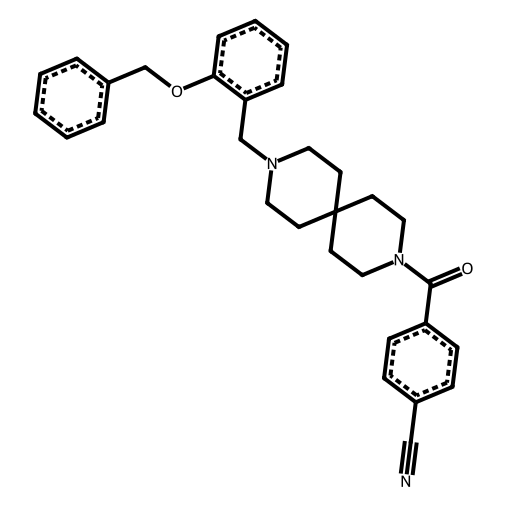 N#Cc1ccc(C(=O)N2CCC3(CCN(Cc4ccccc4OCc4ccccc4)CC3)CC2)cc1